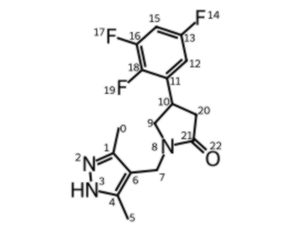 Cc1n[nH]c(C)c1CN1CC(c2cc(F)cc(F)c2F)CC1=O